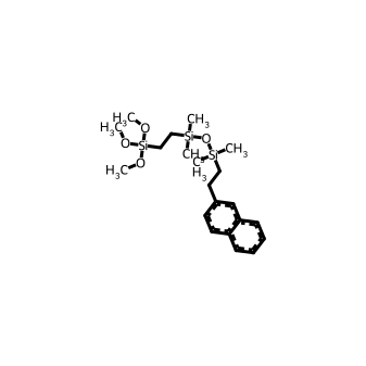 CO[Si](CC[Si](C)(C)O[Si](C)(C)CCc1ccc2ccccc2c1)(OC)OC